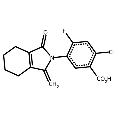 C=C1C2=C(CCCC2)C(=O)N1c1cc(C(=O)O)c(Cl)cc1F